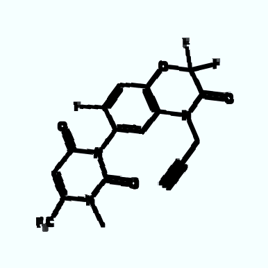 C#CCN1C(=O)C(F)(F)Oc2cc(F)c(-n3c(=O)cc(C(F)(F)F)n(C)c3=O)cc21